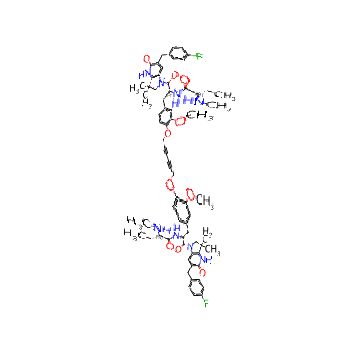 CC[C@H](NC)C(=O)N[C@@H](Cc1ccc(OCC#CC#CCOc2ccc(C[C@H](NC(=O)[C@H](CC)NC)C(=O)N3CC(C)(C)c4[nH]c(=O)c(Cc5ccc(F)cc5)cc43)cc2OC)c(OC)c1)C(=O)N1CC(C)(C)c2[nH]c(=O)c(Cc3ccc(F)cc3)cc21